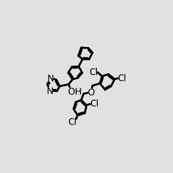 Clc1ccc(COCc2ccc(Cl)cc2Cl)c(Cl)c1.OC(c1ccc(-c2ccccc2)cc1)c1cncnc1